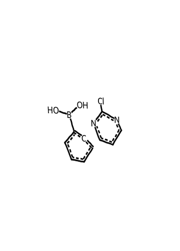 Clc1ncccn1.OB(O)c1ccccc1